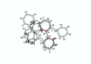 c1ccc(-c2ccccc2-c2c(-c3ccccc3)nnnc2-c2ccccc2-c2c(-c3ccccc3)ccc3[se]c4ccccc4c23)cc1